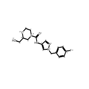 O=C(Nc1cnn(Cc2ccc(F)cc2)c1)N1CCOC(CO)C1